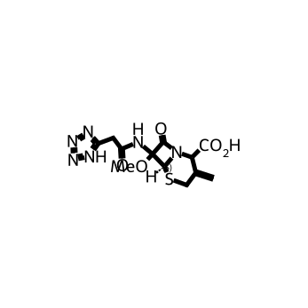 C=C1CS[C@@H]2N(C(=O)C2(NC(=O)Cc2nnn[nH]2)OC)C1C(=O)O